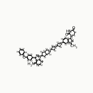 Cn1nc(N2CCC(=O)NC2=O)c2ccc(N3CC(N4CC(N5CC6CC(n7nc(-c8ccc(Oc9ccccc9)cc8)c8c(N)ncnc87)CC6C5)C4)C3)cc21